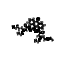 CCCN(C)CC(=O)Nc1cccc2c1C(=O)c1c(NC(=O)CN(C)CCC)cccc1C2=O